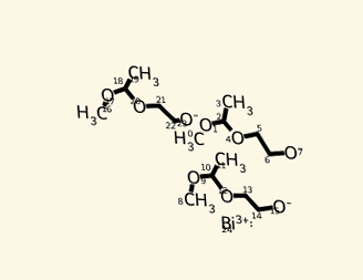 COC(C)OCC[O-].COC(C)OCC[O-].COC(C)OCC[O-].[Bi+3]